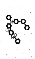 c1ccc(-c2cccc(-c3ccc(N(c4ccccc4)c4ccc5oc6cc7nc(-c8ccccc8)oc7cc6c5c4)cc3)c2)cc1